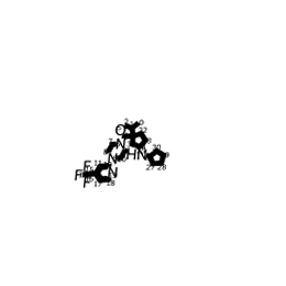 CC(C)C1(C(=O)N2CCN(c3cc(C(F)(F)F)ccn3)CC2)CCC(NC2CCCC2)C1